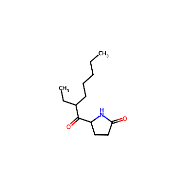 CCCCCC(CC)C(=O)C1CCC(=O)N1